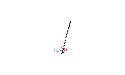 CCCCCCCCCCCCCCCCOC(=O)[C@@H](N)C(C)C